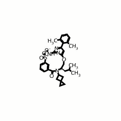 Cc1cccc(C)c1-c1cc2nc(n1)[NH+]([O-])S(=O)(=O)c1cccc(c1)C(=O)N(C1CC3(CC3)C1)[C@H](CC(C)C)CO2